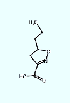 CCCC1CC(C(=O)O)=NO1